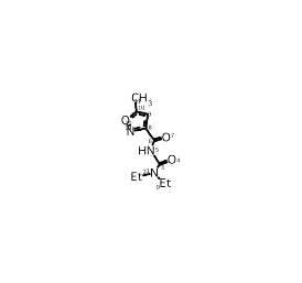 CCN(CC)C(=O)NC(=O)c1cc(C)on1